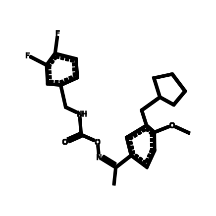 COc1ccc(/C(C)=N\OC(=O)NCc2ccc(F)c(F)c2)cc1CC1CCCC1